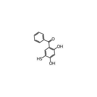 O=C(c1ccccc1)c1cc(S)c(O)cc1O